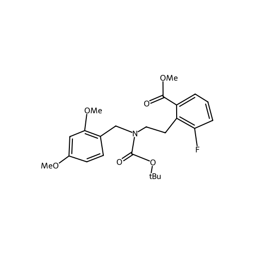 COC(=O)c1cccc(F)c1CCN(Cc1ccc(OC)cc1OC)C(=O)OC(C)(C)C